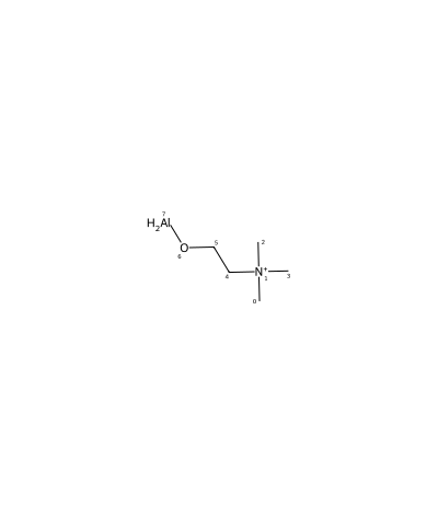 C[N+](C)(C)CC[O][AlH2]